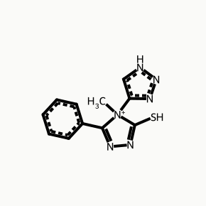 C[N+]1(c2c[nH]nn2)C(S)=NN=C1c1ccccc1